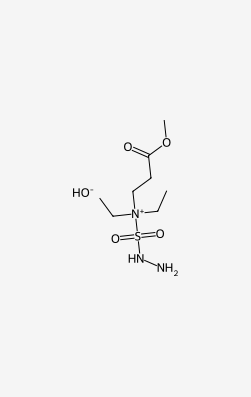 CC[N+](CC)(CCC(=O)OC)S(=O)(=O)NN.[OH-]